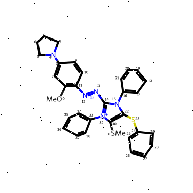 COc1cc(N2CCCC2)ccc1/N=N/c1n(-c2ccccc2)c(Sc2ccccc2)c(SC)[n+]1-c1ccccc1